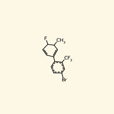 CC1C=C(c2ccc(Br)cc2C(F)(F)F)C=CC1F